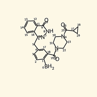 Bc1ccc(Cc2n[nH]c(=O)c3ccccc23)cc1C(=O)N1CCN(C(=O)C2CC2)CC1